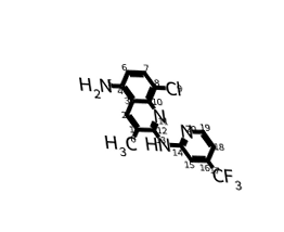 Cc1cc2c(N)ccc(Cl)c2nc1Nc1cc(C(F)(F)F)ccn1